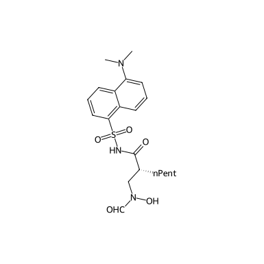 CCCCC[C@H](CN(O)C=O)C(=O)NS(=O)(=O)c1cccc2c(N(C)C)cccc12